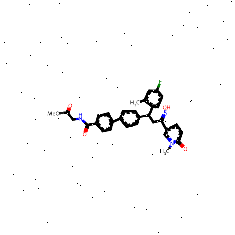 COC(=O)CNC(=O)c1ccc(-c2ccc(C(C/C(=N\O)c3ccc(=O)n(C)c3)c3ccc(F)cc3C)cc2)cc1